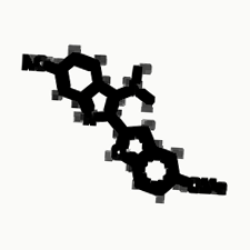 COc1ccc2oc(C3=C(N(C)C)C4C=CC(C#N)=CC4=N3)cc2c1